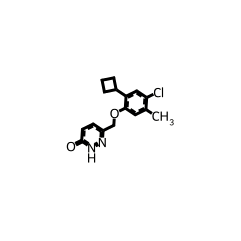 Cc1cc(OCc2ccc(=O)[nH]n2)c(C2CCC2)cc1Cl